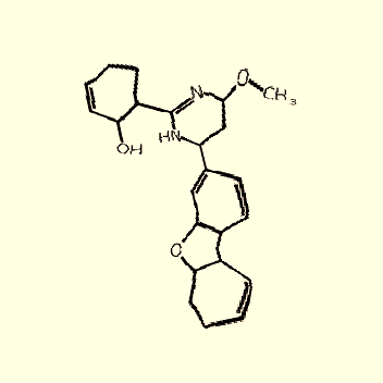 COC1CC(C2=CC3OC4CCC=CC4C3C=C2)NC(C2CCC=CC2O)=N1